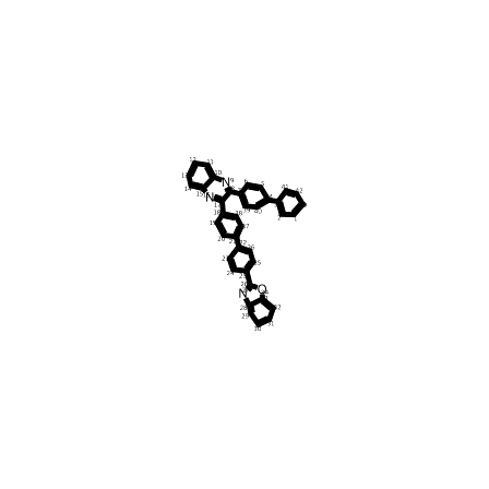 c1ccc(-c2ccc(-c3nc4ccccc4nc3-c3ccc(-c4ccc(-c5nc6ccccc6o5)cc4)cc3)cc2)cc1